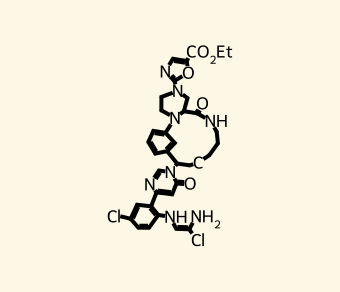 CCOC(=O)c1cnc(N2CCN3c4cccc(c4)C(n4cnc(-c5cc(Cl)ccc5N/C=C(\N)Cl)cc4=O)CCCCCNC(=O)C3C2)o1